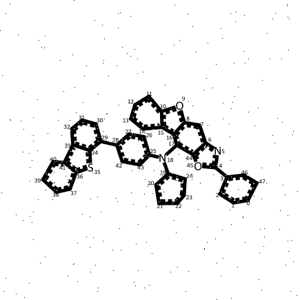 c1ccc(-c2nc3cc4oc5ccccc5c4c(N(c4ccccc4)c4ccc(-c5cccc6c5sc5ccccc56)cc4)c3o2)cc1